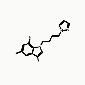 Cc1cc(F)c2c(c1)c(F)cn2CCCCn1cccn1